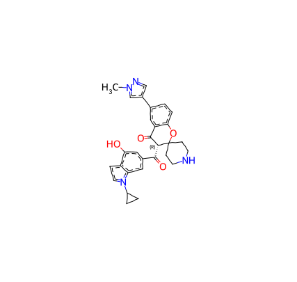 Cn1cc(-c2ccc3c(c2)C(=O)[C@@H](C(=O)c2cc(O)c4ccn(C5CC5)c4c2)C2(CCNCC2)O3)cn1